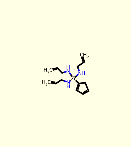 C=CC[NH][Zr]([NH]CC=C)([NH]CC=C)[C]1=CC=CC1